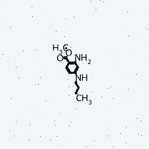 CCCCNc1ccc(C(=O)OC)c(N)c1